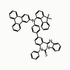 CC1(C)c2ccccc2-c2c(N(c3ccc(-c4ccc5c(c4)c4nc6ccccc6n4c(=S)n5-c4ccccc4)cc3)c3ccc4c5ccccc5c5ccccc5c4c3)cccc21